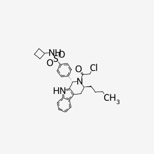 CCCC[C@H]1Cc2c([nH]c3ccccc23)[C@H](c2ccc(S(=O)(=O)NC3CCC3)cc2)N1C(=O)CCl